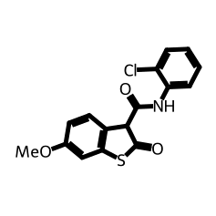 COc1ccc2c(c1)SC(=O)C2C(=O)Nc1ccccc1Cl